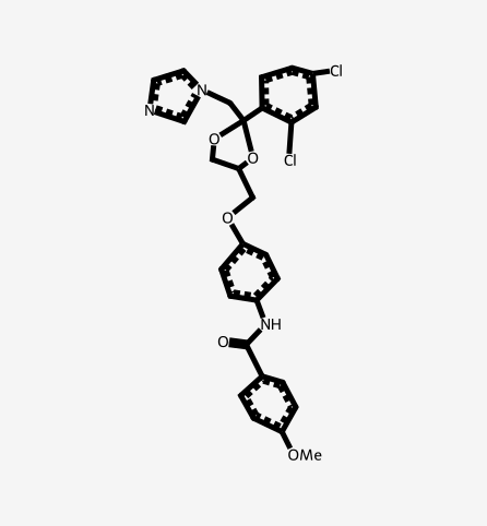 COc1ccc(C(=O)Nc2ccc(OCC3COC(Cn4ccnc4)(c4ccc(Cl)cc4Cl)O3)cc2)cc1